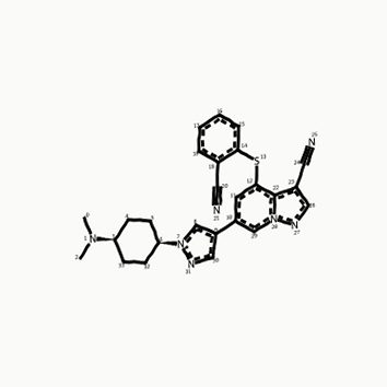 CN(C)[C@H]1CC[C@@H](n2cc(-c3cc(Sc4ccccc4C#N)c4c(C#N)cnn4c3)cn2)CC1